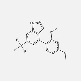 COc1ccc(-c2cc(C(F)(F)F)cc3[nH]ncc23)c(OC)n1